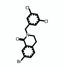 O=C1c2cc(Br)ccc2CCN1Cc1cc(Cl)cc(Cl)c1